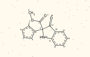 COC(=O)C1(c2cccs2)Nc2ccccc2C1=O